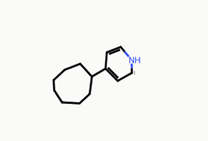 [C]1C=C(C2CCCCCCC2)C=CN1